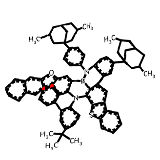 CC1CC2CC(C)CC(c3ccc(N4B5c6cc7oc8cc9ccccc9cc8c7cc6N(c6ccc(C(C)(C)C)cc6-c6ccccc6)c6c5c(cc5c6sc6ccccc65)-c5cc(C67CC(C)CC(CC(C)C6)C7)ccc54)cc3)(C1)C2